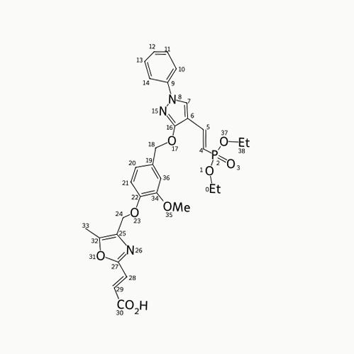 CCOP(=O)(/C=C/c1cn(-c2ccccc2)nc1OCc1ccc(OCc2nc(/C=C/C(=O)O)oc2C)c(OC)c1)OCC